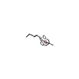 CCCC[B-]12OCC(C)(CO1)CO2